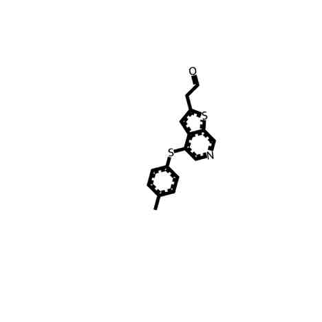 Cc1ccc(Sc2cncc3sc(CC=O)cc23)cc1